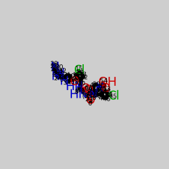 COC[C@H](NC(=O)[C@H](C)NCc1ccc(Cl)cc1Oc1ccc(-c2cnc(CN(C)C)n2C)nc1)C(=O)N(C)C1(Cc2ccc(Cl)cc2)CCCN(C(=O)O)C1